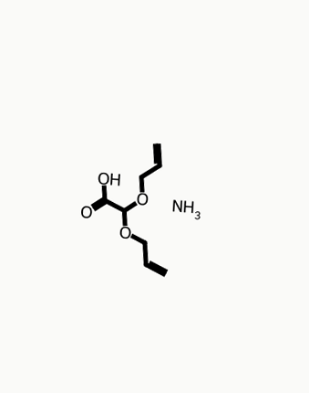 C=CCOC(OCC=C)C(=O)O.N